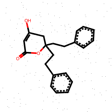 O=C1C=C(O)CC(CCc2cc[c]cc2)(CCc2cc[c]cc2)O1